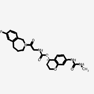 CNC(=O)Nc1ccc2c(c1)OCC[C@@H]2OC(=O)NCC(=O)N1CCCc2cc(F)ccc2C1